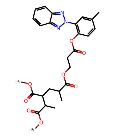 Cc1ccc(OC(=O)CCOC(=O)C(C)CC(C(=O)OC(C)C)C(C)C(=O)OC(C)C)c(-n2nc3ccccc3n2)c1